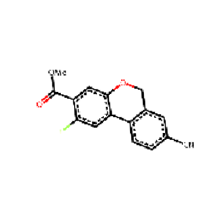 COC(=O)c1cc2c(cc1F)-c1ccc(C#N)cc1CO2